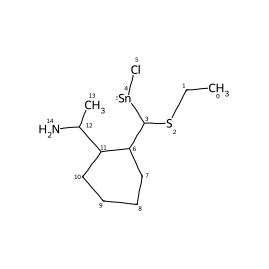 CCS[CH]([Sn][Cl])C1CCCCC1C(C)N